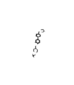 CC(C)(F)CN1CCC(COc2ccc(-c3ccc(C(=O)N4CC[C@H](O)C4)c(F)c3)cc2F)CC1